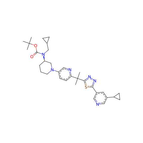 CC(C)(C)OC(=O)N(CC1CC1)[C@@H]1CCCN(c2ccc(C(C)(C)c3nnc(-c4cncc(C5CC5)c4)s3)nc2)C1